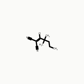 CCCC(C)(C)C(Cl)=C(C#N)C#N